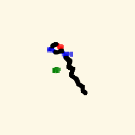 Br.CCCCCCCCCCNC1CNCCO1